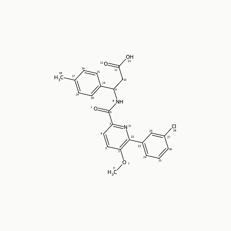 COc1ccc(C(=O)NC(CC(=O)O)c2ccc(C)cc2)nc1-c1cccc(Cl)c1